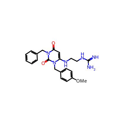 COc1ccc(Cn2c(NCCNC(=N)N)cc(=O)n(Cc3ccccc3)c2=O)cc1